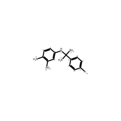 BC(B)(Nc1ccc(N)c([N+](=O)[O-])c1)c1ccc(F)cc1